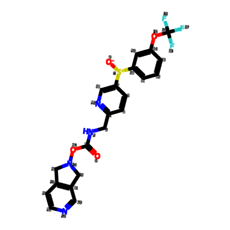 O=C(NCc1ccc([S+]([O-])c2cccc(OC(F)(F)F)c2)cn1)ON1Cc2ccncc2C1